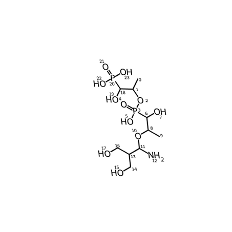 CC(OP(=O)(O)C(O)C(C)OC(N)C(CO)CO)C(O)P(=O)(O)O